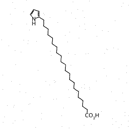 O=C(O)CCCCCCCCCCCCCCCCCCCCCc1ccc[nH]1